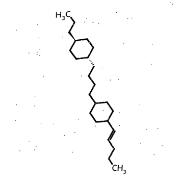 CCCC=CC1CCC(CCCC[C@H]2CC[C@H](CCC)CC2)CC1